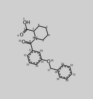 O=C(O)C1CCCCN1C(=O)c1cccc(OCc2ccccc2)c1